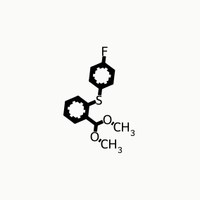 COC(OC)c1ccccc1Sc1ccc(F)cc1